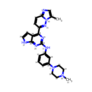 Cc1cnc2ccc(-c3nc(Nc4cccc(N5CCN(C)CC5)c4)nc4[nH]ccc34)nn12